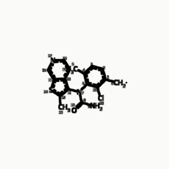 [CH2]c1ccc(C(F)(F)F)c(N(C(N)=O)c2c(C)sc3cnccc23)c1Cl